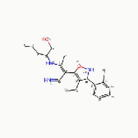 CCCC(CO)N/C(C)=C(\C=N)C1=C(CC)C(c2ccccc2C)NO1